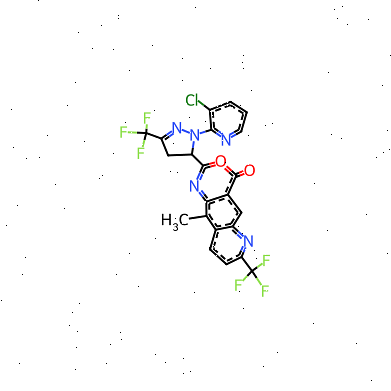 Cc1c2ccc(C(F)(F)F)nc2cc2c(=O)oc(C3CC(C(F)(F)F)=NN3c3ncccc3Cl)nc12